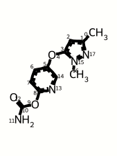 Cc1cc(Oc2ccc(OC(N)=O)nc2)n(C)n1